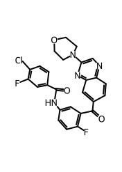 O=C(Nc1ccc(F)c(C(=O)c2ccc3ncc(N4CCOCC4)nc3c2)c1)c1ccc(Cl)c(F)c1